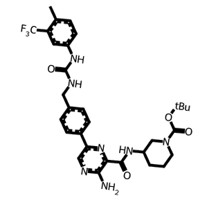 Cc1ccc(NC(=O)NCc2ccc(-c3cnc(N)c(C(=O)NC4CCCN(C(=O)OC(C)(C)C)C4)n3)cc2)cc1C(F)(F)F